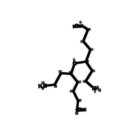 CCCCCCCCCCCCCC(CCN)OC(CCN)CCCCCCCCCCCCC